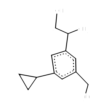 [CH2]C(CO)c1cc(CC(C)C)cc(C2CC2)c1